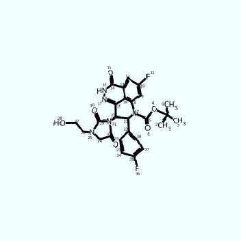 CC(C)(C)OC(=O)N1c2cc(F)cc3c(=O)[nH]nc(c23)C(N2C(=O)CN(CCO)C2=O)C1c1ccc(F)cc1